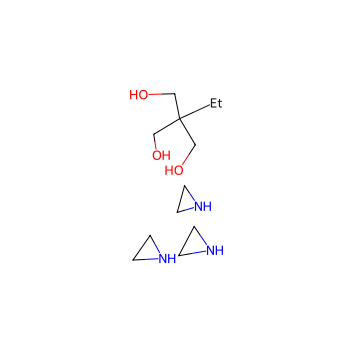 C1CN1.C1CN1.C1CN1.CCC(CO)(CO)CO